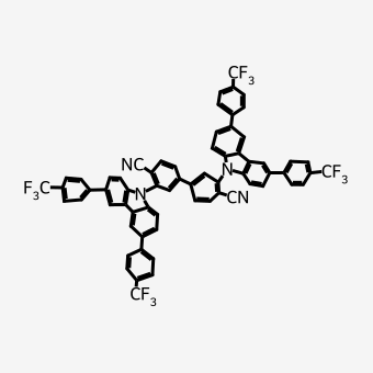 N#Cc1ccc(-c2ccc(C#N)c(-n3c4ccc(-c5ccc(C(F)(F)F)cc5)cc4c4cc(-c5ccc(C(F)(F)F)cc5)ccc43)c2)cc1-n1c2ccc(-c3ccc(C(F)(F)F)cc3)cc2c2cc(-c3ccc(C(F)(F)F)cc3)ccc21